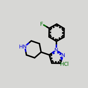 Cl.Fc1cccc(-n2nccc2C2CCNCC2)c1